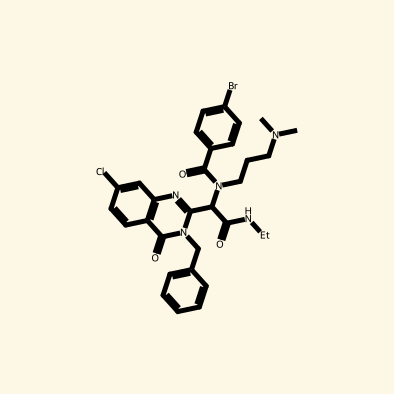 CCNC(=O)C(c1nc2cc(Cl)ccc2c(=O)n1Cc1ccccc1)N(CCCN(C)C)C(=O)c1ccc(Br)cc1